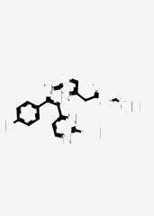 CCOC(=O)Cc1csc2nc(-c3ccc(F)cc3)c(-c3ccnc(S)n3)n12